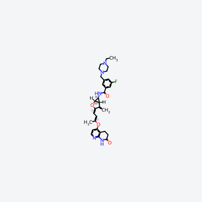 C=C1/C(=C\C=C(/C)Oc2ccnc3c2CCC(=O)N3)O[C@@H]2[C@@H](NC(=O)c3cc(F)cc(CN4CCN(CC)CC4)c3)[C@H]12